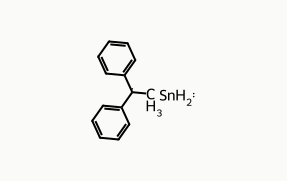 C[C](c1ccccc1)c1ccccc1.[SnH2]